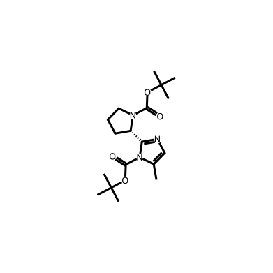 Cc1cnc([C@@H]2CCCN2C(=O)OC(C)(C)C)n1C(=O)OC(C)(C)C